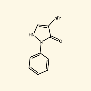 CCCc1c[nH]n(-c2ccccc2)c1=O